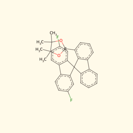 CC1(C)OB(c2cccc3c2C2(c4cc(F)ccc4-c4ccc(F)cc42)c2ccccc2-3)OC1(C)C